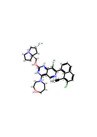 C#Cc1c(F)ccc2cccc(-c3ncc4c(N5CCCOCC5)nc(OC[C@@]56CCCN5C[C@H](F)C6)nc4c3F)c12